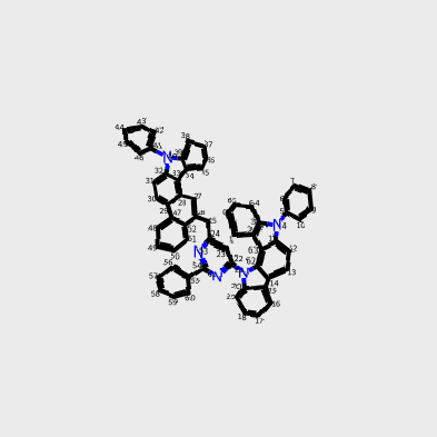 C1=Cc2c(n(-c3ccccc3)c3ccc4c5ccccc5n(-c5cc(Cc6cc7c(ccc8c7c7ccccc7n8-c7ccccc7)c7ccccc67)nc(-c6ccccc6)n5)c4c23)CC1